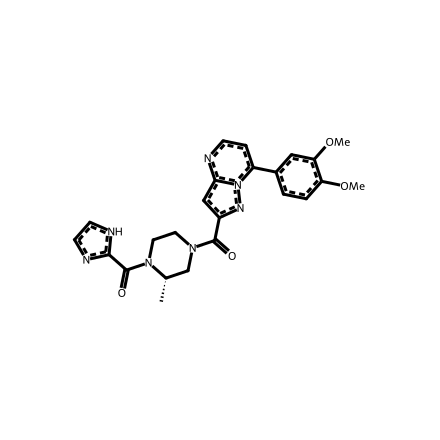 COc1ccc(-c2ccnc3cc(C(=O)N4CCN(C(=O)c5ncc[nH]5)[C@@H](C)C4)nn23)cc1OC